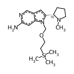 CN1CCC[C@H]1c1cc2cnc(N)cc2n1COCC[Si](C)(C)C